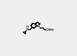 COCCCn1ncc2ccc(CNC3CC3)cc21